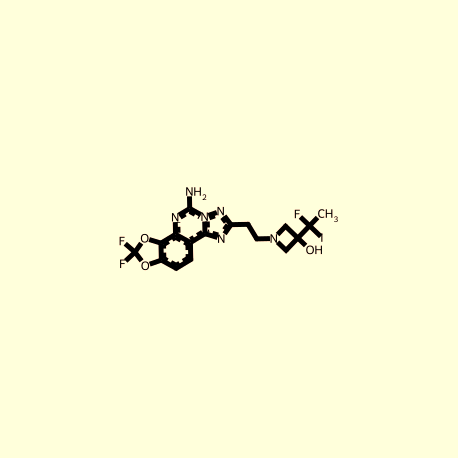 CC(F)(I)C1(O)CN(CCc2nc3c4ccc5c(c4nc(N)n3n2)OC(F)(F)O5)C1